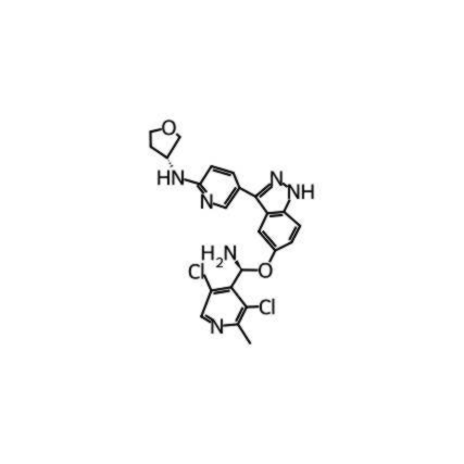 Cc1ncc(Cl)c([C@@H](N)Oc2ccc3[nH]nc(-c4ccc(N[C@@H]5CCOC5)nc4)c3c2)c1Cl